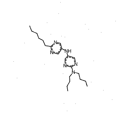 CCCCCCc1ncc(Nc2cnc(N(CCCC)CCCC)nc2)cn1